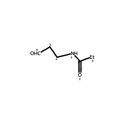 CCC(=O)NCC[C]=O